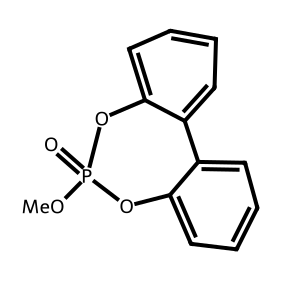 COP1(=O)Oc2ccccc2-c2ccccc2O1